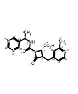 C[C@@H](NC(=O)N1C(=O)C(Cc2ccnc(N)c2)[C@H]1C(=O)O)c1cncnc1